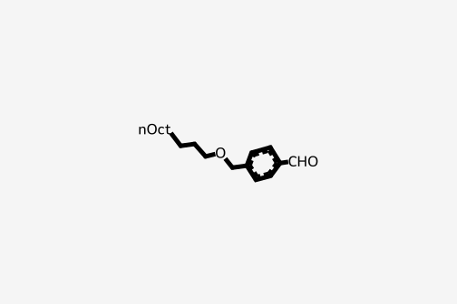 CCCCCCCCCCCOCc1ccc(C=O)cc1